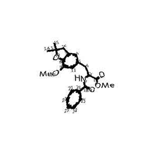 COC(=O)C(Cc1cc2c(c(OC)c1)OC(C)(C)C2)NC(=O)c1ccccc1